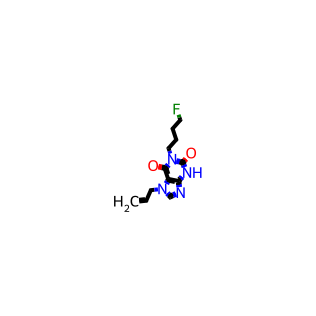 C=CCn1cnc2[nH]c(=O)n(CCCCF)c(=O)c21